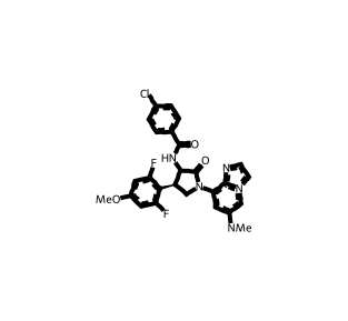 CNc1cc(N2C[C@@H](c3c(F)cc(OC)cc3F)C(NC(=O)c3ccc(Cl)cc3)C2=O)c2nccn2c1